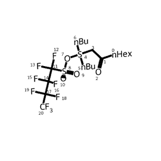 CCCCCCC(=O)CS(CCCC)(CCCC)OS(=O)(=O)C(F)(F)C(F)(F)C(F)(F)C(F)(F)F